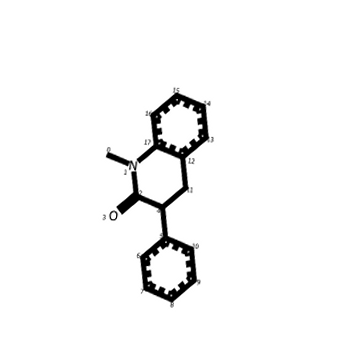 CN1C(=O)C(c2ccccc2)Cc2ccccc21